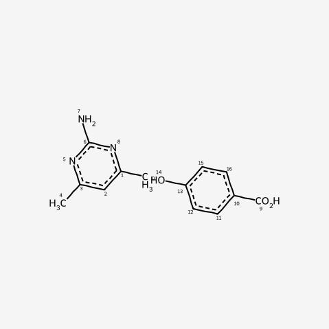 Cc1cc(C)nc(N)n1.O=C(O)c1ccc(O)cc1